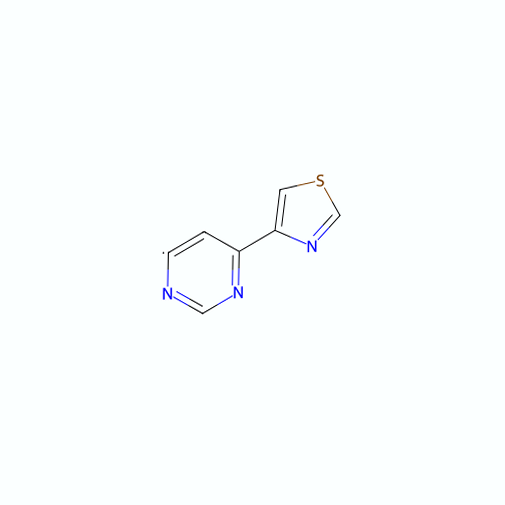 [c]1cc(-c2cscn2)ncn1